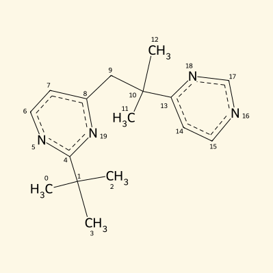 CC(C)(C)c1nccc(CC(C)(C)c2ccncn2)n1